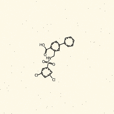 O=C(O)c1ccc(-c2ccccc2)cc1CNS(=O)(=O)c1cc(Cl)cc(Cl)c1